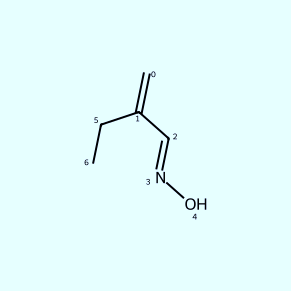 C=C(C=NO)CC